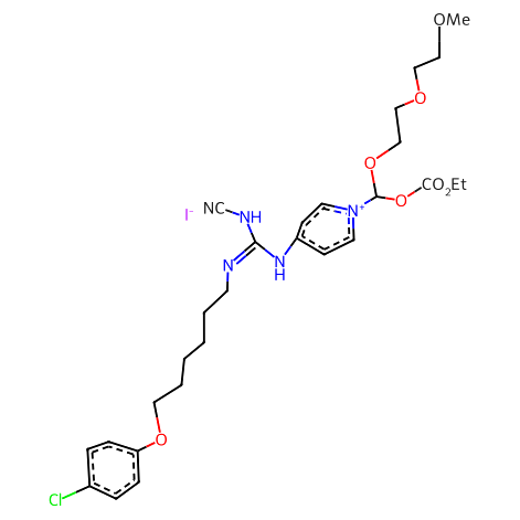 CCOC(=O)OC(OCCOCCOC)[n+]1ccc(N/C(=N\CCCCCCOc2ccc(Cl)cc2)NC#N)cc1.[I-]